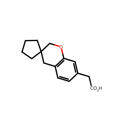 O=C(O)Cc1ccc2c(c1)OCC1(CCCC1)C2